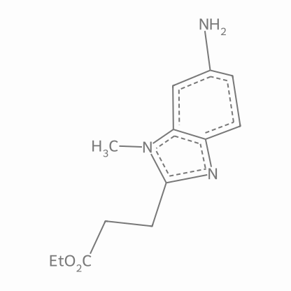 CCOC(=O)CCc1nc2ccc(N)cc2n1C